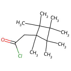 CC1(C)C(C)(C)C(C)(CC(=O)Cl)C1(C)C